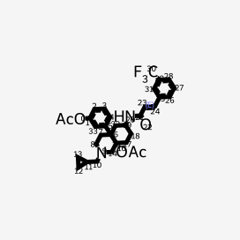 CC(=O)Oc1cccc(C23CCN(CC4CC4)CC2(OC(C)=O)CCC(NC(=O)/C=C/c2cccc(C(F)(F)F)c2)C3)c1